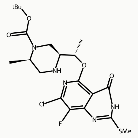 CSc1nc2c(F)c(Cl)nc(O[C@@H](C)[C@@H]3CN(C(=O)OC(C)(C)C)[C@H](C)CN3)c2c(=O)[nH]1